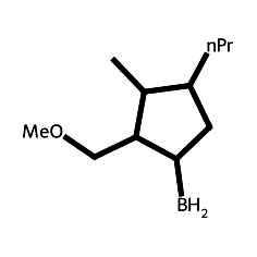 BC1CC(CCC)C(C)C1COC